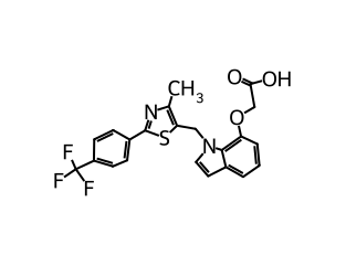 Cc1nc(-c2ccc(C(F)(F)F)cc2)sc1Cn1ccc2cccc(OCC(=O)O)c21